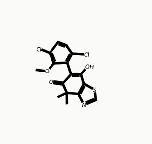 COc1c(Cl)ccc(Cl)c1C1=C(O)c2scnc2C(C)(C)C1=O